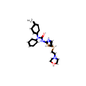 CC1CCC(N(C(=O)Nc2ncc(SCCN3CCOCC3)s2)C2CCCCC2)CC1